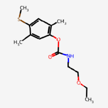 CCOCCNC(=O)Oc1cc(C)c(SC)cc1C